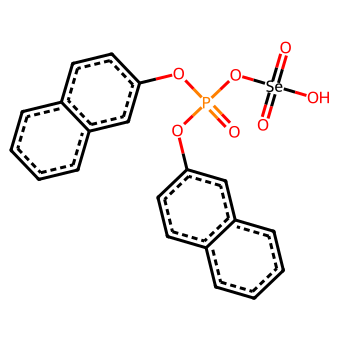 O=P(Oc1ccc2ccccc2c1)(Oc1ccc2ccccc2c1)O[Se](=O)(=O)O